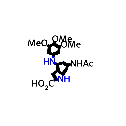 COc1cc(Nc2cc(NC(C)=O)cc3[nH]c(C(=O)O)cc23)cc(OC)c1OC